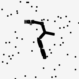 CC(N=C=O)OC(=O)O